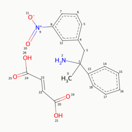 CC(N)(Cc1cccc([N+](=O)[O-])c1)c1ccccc1.O=C(O)/C=C/C(=O)O